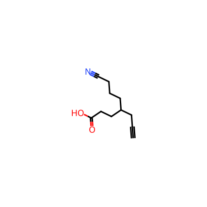 C#CCC(CCCC#N)CCC(=O)O